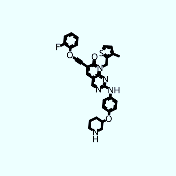 Cc1ccsc1Cn1c(=O)c(C#COc2ccccc2F)cc2cnc(Nc3ccc(OC4CCCNC4)cc3)nc21